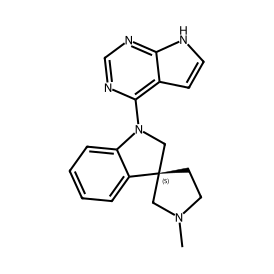 CN1CC[C@]2(C1)CN(c1ncnc3[nH]ccc13)c1ccccc12